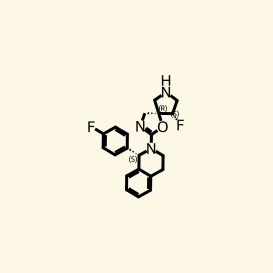 Fc1ccc([C@H]2c3ccccc3CCN2C2=NC[C@@]3(CNC[C@@H]3F)O2)cc1